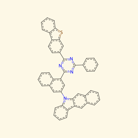 c1ccc(-c2nc(-c3ccc4c(c3)sc3ccccc34)nc(-c3cc(-n4c5ccccc5c5cc6ccccc6cc54)cc4ccccc34)n2)cc1